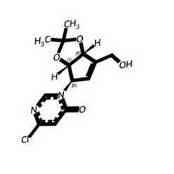 CC1(C)O[C@@H]2[C@H](O1)C(CO)=C[C@H]2n1cnc(Cl)cc1=O